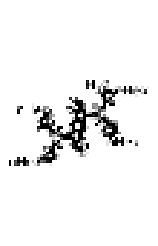 CCCCCCc1ccc(CSC(SCc2ccc(CCCCCC)s2)=C2c3cc4c(cc3-c3sccc32)/C(=C(/SCC2=CC(C)C(CCCCCC)S2)SCc2ccc(CCCCCC)s2)c2ccsc2-4)s1